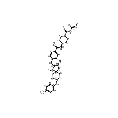 C/C=C(\C)OC(=O)N1CCC(NC(=O)c2ccc(CN3C(=O)OC4(CCN(Cc5ccc(C(F)(F)F)cc5)CC4)C3C)cc2)CC1